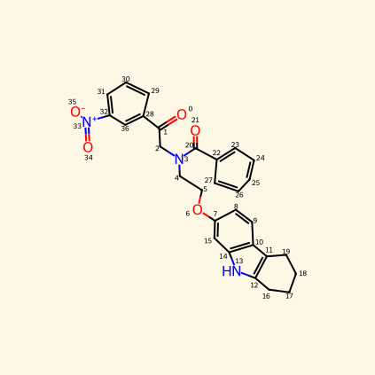 O=C(CN(CCOc1ccc2c3c([nH]c2c1)CCCC3)C(=O)c1ccccc1)c1cccc([N+](=O)[O-])c1